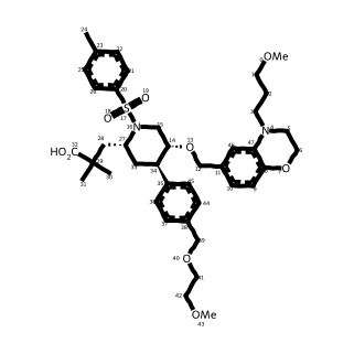 COCCCN1CCOc2ccc(CO[C@H]3CN(S(=O)(=O)c4ccc(C)cc4)[C@@H](CC(C)(C)C(=O)O)C[C@@H]3c3ccc(COCCOC)cc3)cc21